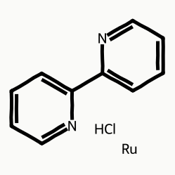 Cl.[Ru].c1ccc(-c2ccccn2)nc1